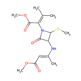 COC(=O)C=C(C)NC1C(=O)N(C(C(=O)OC)=C(C)C)C1SC